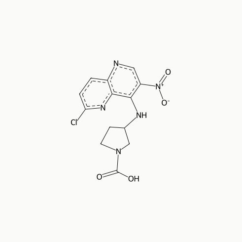 O=C(O)N1CCC(Nc2c([N+](=O)[O-])cnc3ccc(Cl)nc23)C1